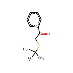 CC(C)(C)SCC(=O)c1ccccc1